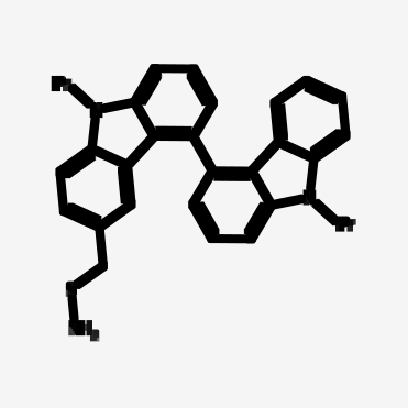 CC(C)n1c2ccccc2c2c(-c3cccc4c3c3cc(CSN)ccc3n4C(C)C)cccc21